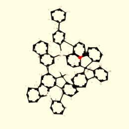 CC1(C)c2cccc3c2-c2c1c(-c1cc(N(c4ccc5c(c4)-c4ccccc4C54c5ccccc5-c5ccccc54)c4ccc(-c5ccccc5)cc4-c4ccccc4)c4ccccc4c1)cc1c4ccccc4n(c21)-c1ccccc1-3